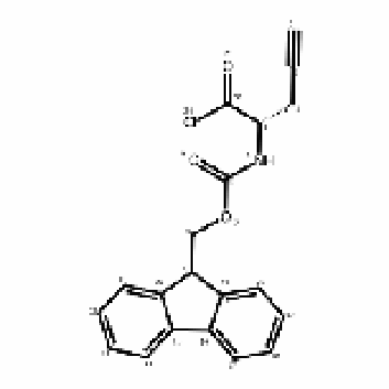 C#CC[C@H](NC(=O)OCC1c2ccccc2-c2ccccc21)C(=O)Cl